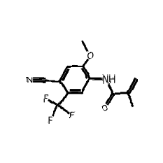 C=C(C)C(=O)Nc1cc(C(F)(F)F)c(C#N)cc1OC